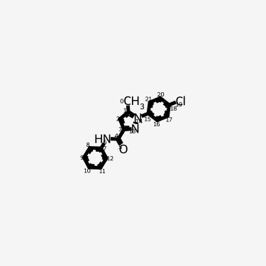 Cc1[c]c(C(=O)Nc2ccccc2)nn1-c1ccc(Cl)cc1